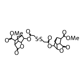 COC(=O)C1C2CC3C(OC(=O)C31)C2OC(=O)CSSCC(=O)OC1C2CC3C1OC(=O)C3C2C(=O)OC